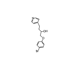 OC(CCc1ccncc1)COc1ccc(Br)cc1